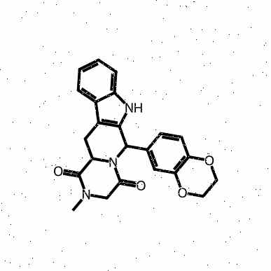 CN1CC(=O)N2C(Cc3c([nH]c4ccccc34)C2c2ccc3c(c2)OCCO3)C1=O